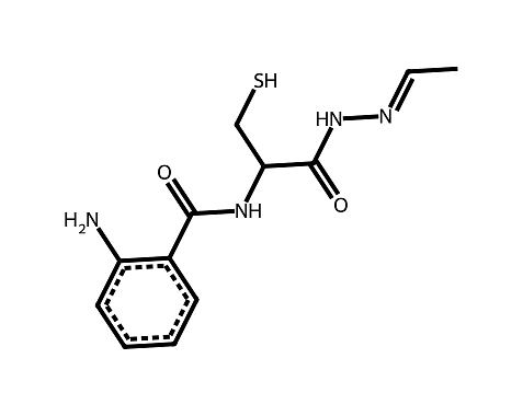 CC=NNC(=O)C(CS)NC(=O)c1ccccc1N